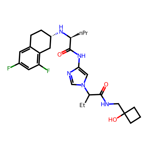 CCC[C@H](N[C@H]1CCc2cc(F)cc(F)c2C1)C(=O)Nc1cn(C(CC)C(=O)NCC2(O)CCC2)cn1